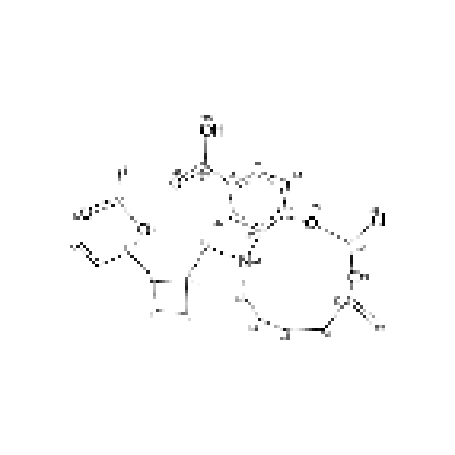 C=C[C@H](OC(C)=O)C1CCC1CN1CCCCC(=C)CC(Cl)Oc2ccc(C(=O)O)cc21